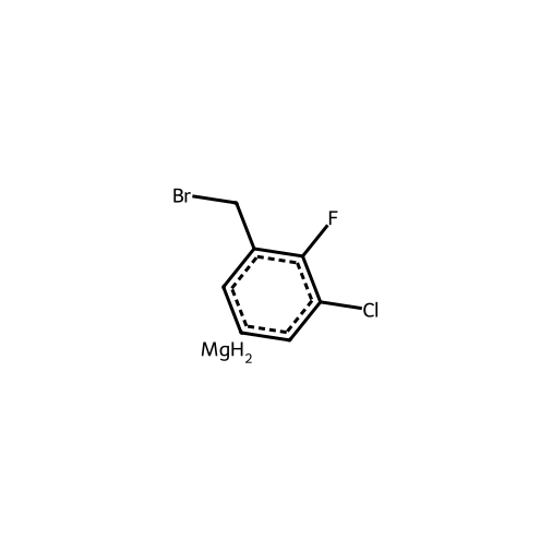 Fc1c(Cl)cccc1CBr.[MgH2]